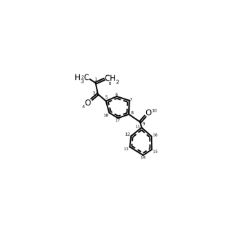 C=C(C)C(=O)c1ccc(C(=O)c2ccccc2)cc1